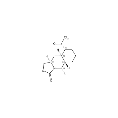 C[C@H]1[C@H]2CCC[C@@H](C(=O)C(F)(F)F)[C@@H]2C[C@@H]2COC(=O)N21